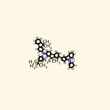 CC(C)(C)c1ccc(N(c2ccc3c(c2)C(C)(C)c2ccccc2-3)c2ccc3c(c2)C(C)(C)c2cc(-c4ccc5c(c4)c4ccccc4n5-c4ccccc4)ccc2-3)cc1